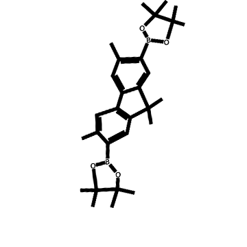 Cc1cc2c(cc1B1OC(C)(C)C(C)(C)O1)C(C)(C)c1cc(B3OC(C)(C)C(C)(C)O3)c(C)cc1-2